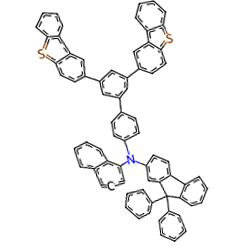 c1ccc(C2(c3ccccc3)c3ccccc3-c3ccc(N(c4ccc(-c5cc(-c6ccc7sc8ccccc8c7c6)cc(-c6ccc7sc8ccccc8c7c6)c5)cc4)c4cccc5ccccc45)cc32)cc1